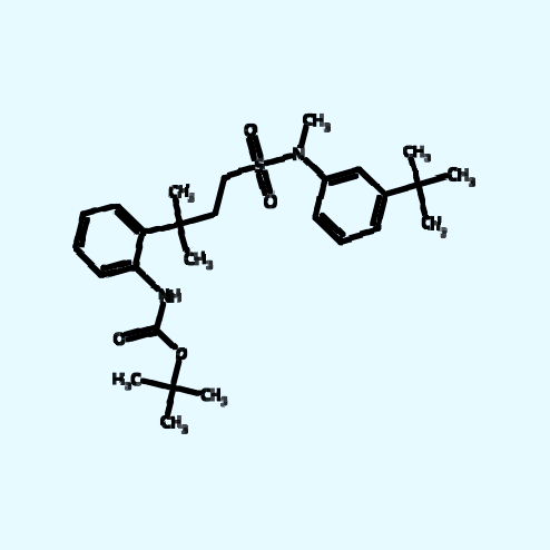 CN(c1cccc(C(C)(C)C)c1)S(=O)(=O)CCC(C)(C)c1ccccc1NC(=O)OC(C)(C)C